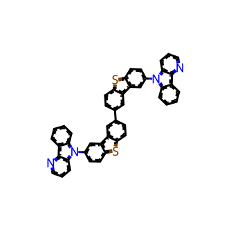 c1ccc2c(c1)c1ncccc1n2-c1ccc2sc3ccc(-c4ccc5sc6ccc(-n7c8ccccc8c8ncccc87)cc6c5c4)cc3c2c1